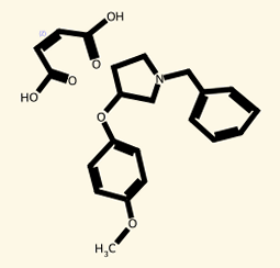 COc1ccc(OC2CCN(Cc3ccccc3)C2)cc1.O=C(O)/C=C\C(=O)O